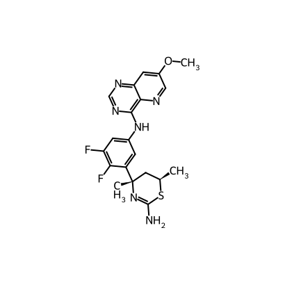 COc1cnc2c(Nc3cc(F)c(F)c([C@]4(C)C[C@@H](C)SC(N)=N4)c3)ncnc2c1